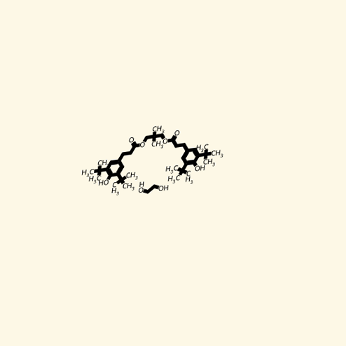 CC(C)(COC(=O)CCc1cc(C(C)(C)C)c(O)c(C(C)(C)C)c1)COC(=O)CCc1cc(C(C)(C)C)c(O)c(C(C)(C)C)c1.OCCO